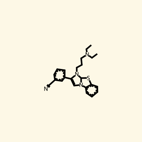 CCN(CC)CCCN1C(c2cccc(C#N)c2)=CN2c3ccccc3SC12